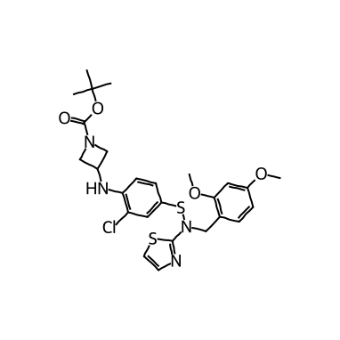 COc1ccc(CN(Sc2ccc(NC3CN(C(=O)OC(C)(C)C)C3)c(Cl)c2)c2nccs2)c(OC)c1